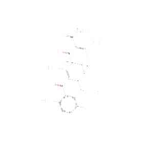 NC(=O)C1=C(O)C[C@@H]2CC3C(=C(O)[C@]2(O)C1=O)C(=O)c1c(O)ccc(Cl)c1C3O